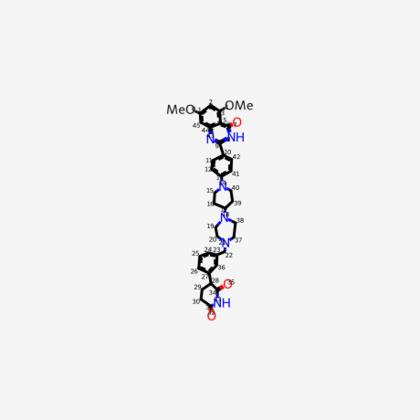 COc1cc(OC)c2c(=O)[nH]c(-c3ccc(N4CCC(N5CCN(Cc6cccc(C7CCC(=O)NC7=O)c6)CC5)CC4)cc3)nc2c1